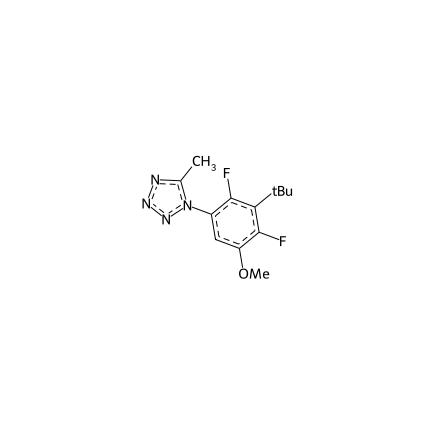 COc1cc(-n2nnnc2C)c(F)c(C(C)(C)C)c1F